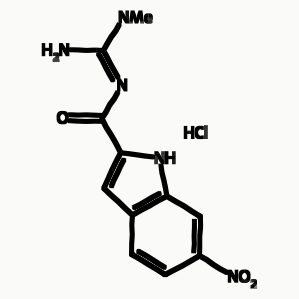 CNC(N)=NC(=O)c1cc2ccc([N+](=O)[O-])cc2[nH]1.Cl